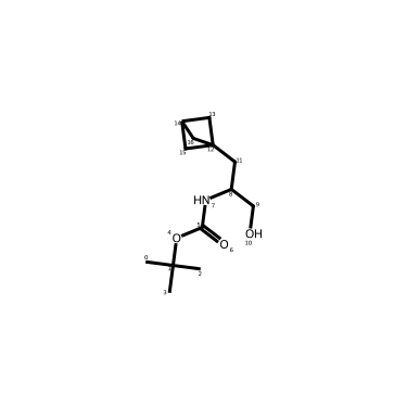 CC(C)(C)OC(=O)NC(CO)CC12CC(C1)C2